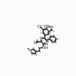 Cn1ccc(CCNc2nc(-c3ccccc3)c(-c3cc(Cl)c4[nH]ncc4c3)nc2C#N)c1